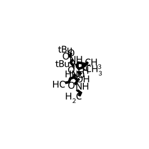 C#CCCC(NC(=O)[C@@H]1[C@@H]2C(CN1C(=O)[C@@H](NC(=O)OC(C)(C)C)C(C)(C)C)C2(C)C)C(O)C(=O)NCC=C